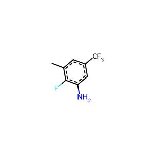 Cc1cc(C(F)(F)F)cc(N)c1F